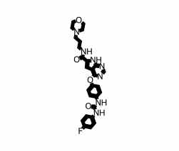 O=C(Nc1ccc(F)cc1)Nc1ccc(Oc2ncnc3[nH]c(C(=O)NCCCN4CCOCC4)cc23)cc1